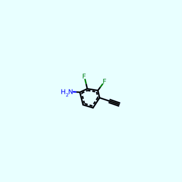 C#Cc1ccc(N)c(F)c1F